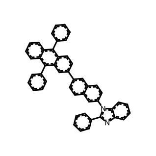 c1ccc(-c2c3ccccc3c(-c3ccccc3)c3cc(-c4ccc5cc(-n6c(-c7ccccc7)nc7ccccc76)ccc5c4)ccc23)cc1